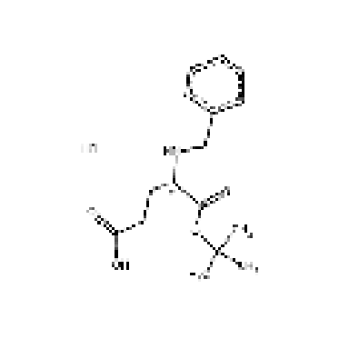 CC(C)(C)OC(=O)[C@H](CCC(=O)O)NCc1ccccc1.Cl